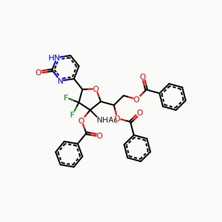 CC(=O)NC1(OC(=O)c2ccccc2)C(C(COC(=O)c2ccccc2)OC(=O)c2ccccc2)OC(c2cc[nH]c(=O)n2)C1(F)F